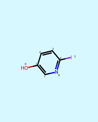 Oc1ccc(I)nc1